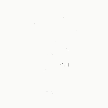 CCC(=O)Nc1nc(-c2ccccc2)c(-c2ccoc2)s1